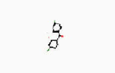 O=C(c1ccc(Cl)cc1)c1ccc(Cl)cc1.O=[N+]([O-])O